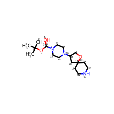 CC(C)(C)OC(O)N1CCN(C2COC3(CCNCC3)C2)CC1